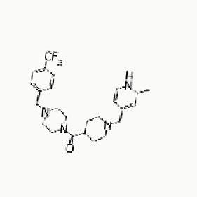 C[C@H]1C=C(CN2CCC(C(=O)N3CCN(Cc4ccc(C(F)(F)F)cc4)CC3)CC2)C=CN1